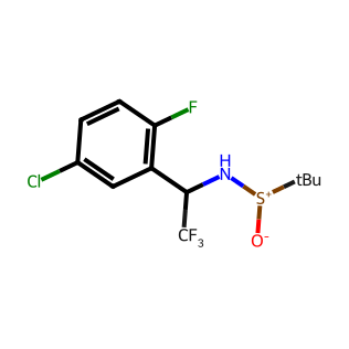 CC(C)(C)[S+]([O-])NC(c1cc(Cl)ccc1F)C(F)(F)F